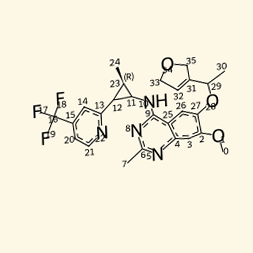 COc1cc2nc(C)nc(NC3C(c4cc(C(F)(F)F)ccn4)[C@H]3C)c2cc1OC(C)C1=CCOC1